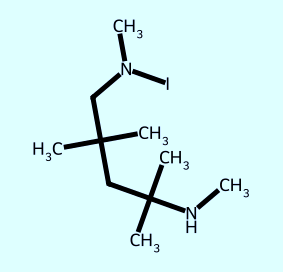 CNC(C)(C)CC(C)(C)CN(C)I